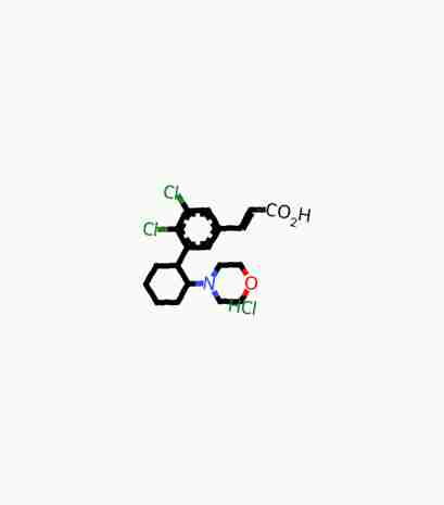 Cl.O=C(O)C=Cc1cc(Cl)c(Cl)c(C2CCCCC2N2CCOCC2)c1